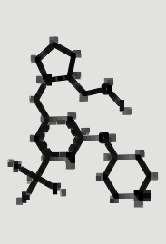 FC(F)(F)c1cc(CN2CCCC2COI)cc(OC2CCNCC2)n1